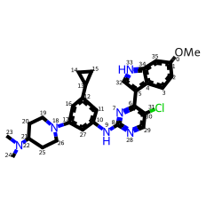 COc1ccc2c(-c3nc(Nc4cc(C5CC5)cc(N5CCC(N(C)C)CC5)c4)ncc3Cl)c[nH]c2c1